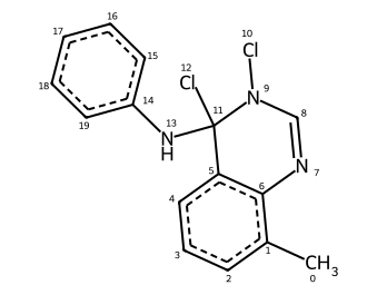 Cc1cccc2c1N=CN(Cl)C2(Cl)Nc1ccccc1